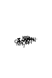 CC(C)C(C(N)=O)N(C)CC(O)C(O)C(O)C(O)CN=[N+]=[N-]